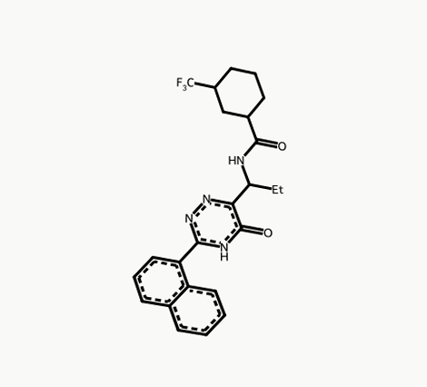 CCC(NC(=O)C1CCCC(C(F)(F)F)C1)c1nnc(-c2cccc3ccccc23)[nH]c1=O